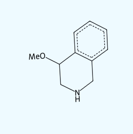 COC1CNCc2ccccc21